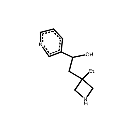 CCC1(CC(O)c2cccnc2)CNC1